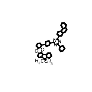 CC1(C)c2ccccc2-c2c1ccc1c2Oc2c(cccc2-c2ccc(-c3nc(-c4ccccc4)nc(-c4ccc5c(ccc6ccccc65)c4)n3)cc2)O1